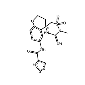 CN1C(=N)N[C@@]2(CCOc3ccc(NC(=O)c4cnsn4)cc32)CS1(=O)=O